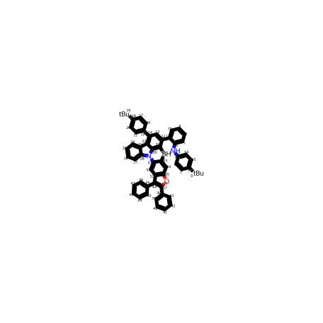 CC(C)(C)c1ccc(Nc2ccccc2-c2cc(-c3ccc(C(C)(C)C)cc3)c3c4ccccc4n4c3c2Bc2cc3oc(-c5ccccc5)c(-c5ccccc5)c3cc2-4)cc1